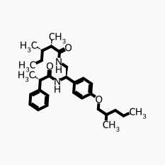 CCCC(C)COc1ccc([C@H](CNC(=O)[C@@H](C)[C@@H](C)CC)NC(=O)[C@@H](C)c2ccccc2)cc1